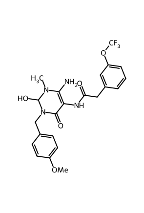 COc1ccc(CN2C(=O)C(NC(=O)Cc3cccc(OC(F)(F)F)c3)=C(N)N(C)C2O)cc1